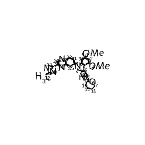 COc1cc(OC)cc(N(Cc2ccn(C3CCCCO3)n2)c2ccc3ncc(C4=NC(C)N=C4)nc3c2)c1